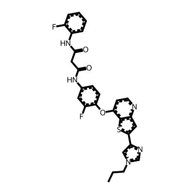 CCCn1cnc(-c2cc3nccc(Oc4ccc(NC(=O)CC(=O)Nc5ccccc5F)cc4F)c3s2)c1